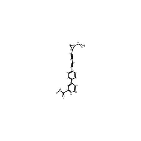 COC(=O)c1cc(-c2ccc(C#CC#CC3C[C@H]3CO)cc2)ccn1